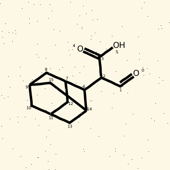 O=CC(C(=O)O)C1C2CC3CC(C2)CC1C3